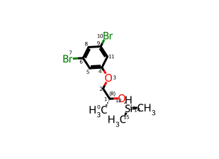 C[C@H](COc1cc(Br)cc(Br)c1)O[SiH](C)C